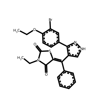 CCOc1ccc(-c2n[nH]cc2C(=C2SC(=O)N(CC)C2=O)c2ccccc2)cc1Br